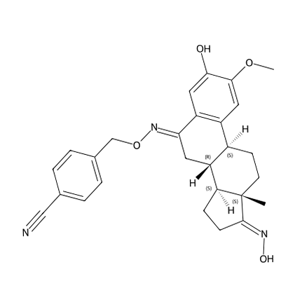 COc1cc2c(cc1O)C(=NOCc1ccc(C#N)cc1)C[C@@H]1[C@@H]2CC[C@]2(C)C(=NO)CC[C@@H]12